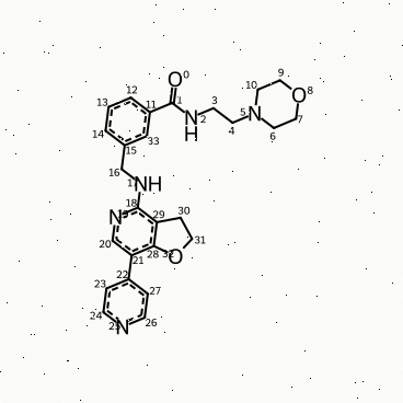 O=C(NCCN1CCOCC1)c1cccc(CNc2ncc(-c3ccncc3)c3c2CCO3)c1